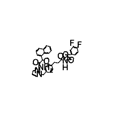 NC(=O)C(Oc1cc(Cn2cccn2)ccc1CCC(=O)NS(=O)(=O)c1ccc(F)c(F)c1)c1cccc2ccccc12